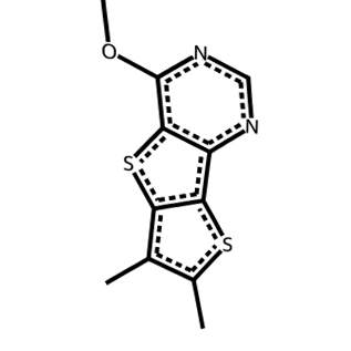 COc1ncnc2c1sc1c(C)c(C)sc12